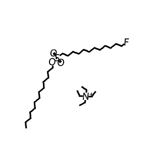 CCCCCCCCCCCCCOS(=O)(=O)CCCCCCCCCCCCF.CC[N+](CC)(CC)CC